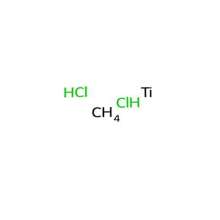 C.Cl.Cl.[Ti]